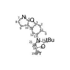 Cc1cc2oc3ncccc3c2cc1N1C(C(C)(C)C)OC(C(C)C)[C@@H]1C